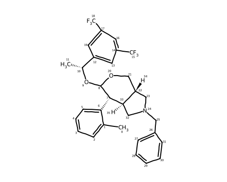 Cc1ccccc1[C@@H]1C(O[C@H](C)c2cc(C(F)(F)F)cc(C(F)(F)F)c2)OC[C@@H]2CN(Cc3ccccc3)C[C@H]21